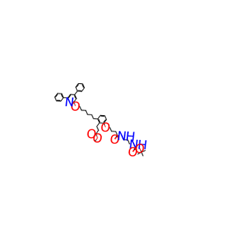 COC(=O)CCc1c(CCCCCCOc2cc(-c3ccccc3)cc(-c3ccccc3)n2)cccc1OCCCC(=O)NCCCNC(=O)OC(C)(C)C